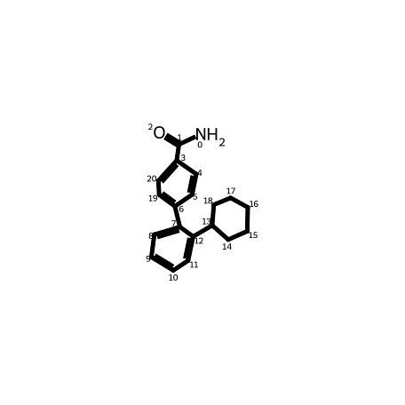 NC(=O)c1ccc(-c2ccccc2C2CCCCC2)cc1